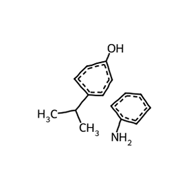 CC(C)c1ccc(O)cc1.Nc1ccccc1